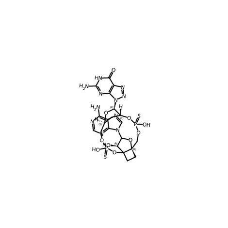 Nc1nc2c(nnn2[C@@H]2O[C@@H]3COP(O)(=S)OC45CC[C@]4(COP(O)(=S)O[C@@H]2C3)OC(n2cnc3c(N)ncnc32)[C@@H]5O)c(=O)[nH]1